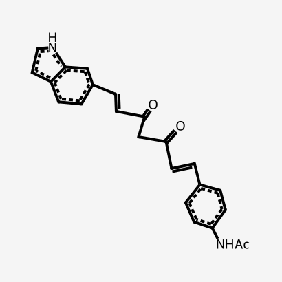 CC(=O)Nc1ccc(/C=C/C(=O)CC(=O)/C=C/c2ccc3cc[nH]c3c2)cc1